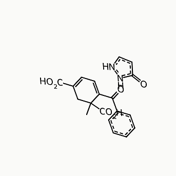 CC1(C(=O)O)CC(C(=O)O)=CC=C1C(=O)c1ccccc1.O=c1cc[nH][nH]1